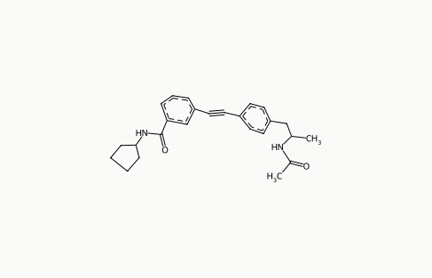 CC(=O)NC(C)Cc1ccc(C#Cc2cccc(C(=O)NC3CCCC3)c2)cc1